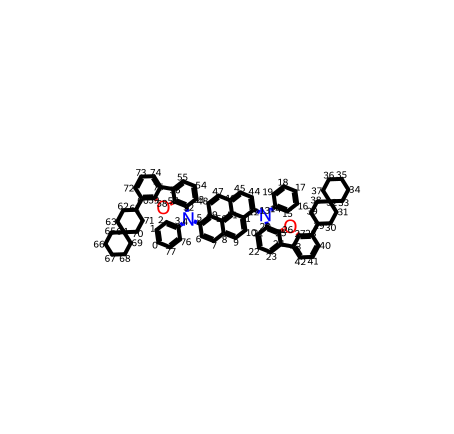 c1ccc(N(c2ccc3ccc4c(N(c5ccccc5)c5cccc6c5oc5c(C7CCC8(CCCCC8)CC7)cccc56)ccc5ccc2c3c54)c2cccc3c2oc2c(C4CCC5(CCCCC5)CC4)cccc23)cc1